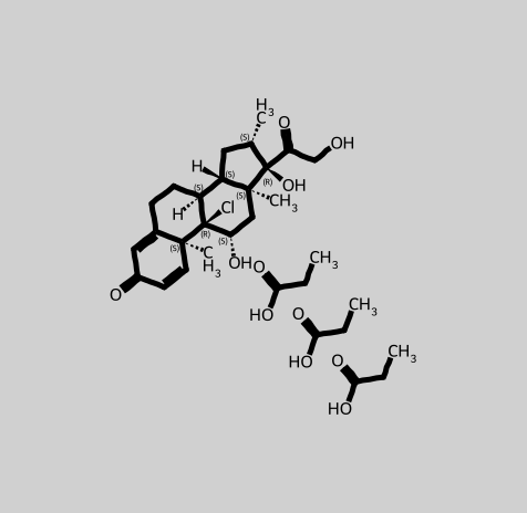 CCC(=O)O.CCC(=O)O.CCC(=O)O.C[C@H]1C[C@H]2[C@@H]3CCC4=CC(=O)C=C[C@]4(C)[C@@]3(Cl)[C@@H](O)C[C@]2(C)[C@@]1(O)C(=O)CO